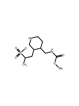 CC(CC1CNCCC1CNC(=O)OC(C)(C)C)S(=O)(=O)Cl